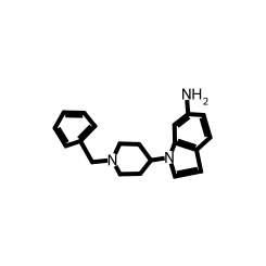 Nc1ccc2ccn(C3CCN(Cc4ccccc4)CC3)c2c1